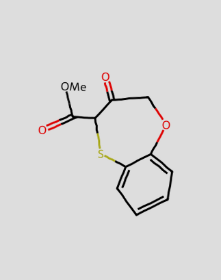 COC(=O)C1Sc2ccccc2OCC1=O